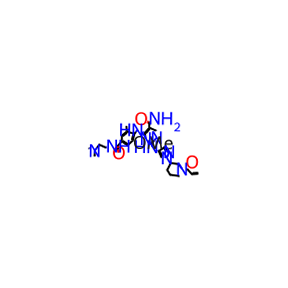 C=CC(=O)N1CCC[C@H](n2cc(Nc3ncc(C(N)=O)c(Nc4c(C)cc(C(=O)NCCN(C)C)cc4OC)n3)cn2)C1